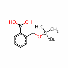 CC(C)(C)[Si](C)(C)OCc1ccccc1B(O)O